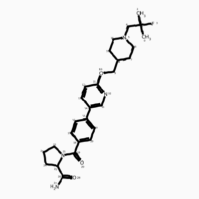 CC(C)(F)CN1CCC(COc2ccc(-c3ccc(C(=O)N4CCCC4C(N)=O)cc3)cn2)CC1